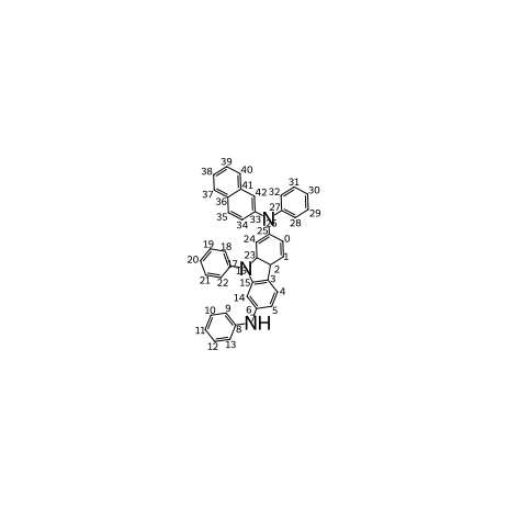 C1=CC2c3ccc(Nc4ccccc4)cc3N(c3ccccc3)C2C=C1N(c1ccccc1)c1ccc2ccccc2c1